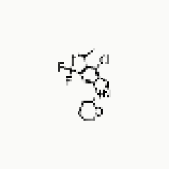 C=C(C)c1c(C(F)(F)F)cc2c(cnn2C2CCCCO2)c1Cl